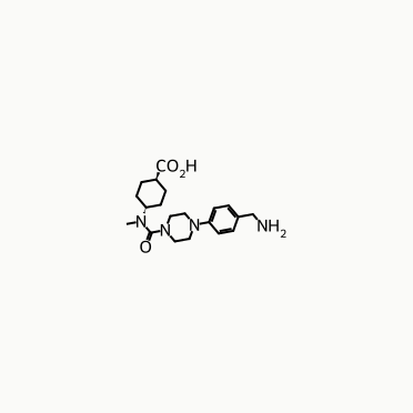 CN(C(=O)N1CCN(c2ccc(CN)cc2)CC1)[C@H]1CC[C@H](C(=O)O)CC1